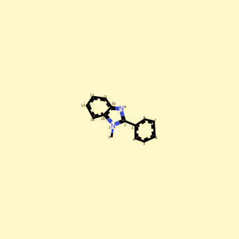 Cn1c(-c2ccccc2)nc2cc[c]cc21